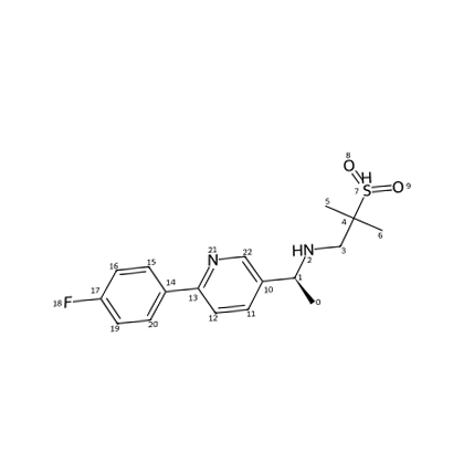 C[C@H](NCC(C)(C)[SH](=O)=O)c1ccc(-c2ccc(F)cc2)nc1